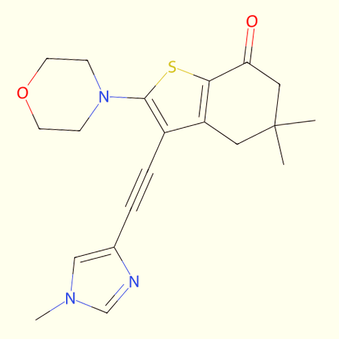 Cn1cnc(C#Cc2c(N3CCOCC3)sc3c2CC(C)(C)CC3=O)c1